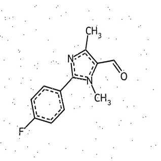 Cc1nc(-c2ccc(F)cc2)n(C)c1C=O